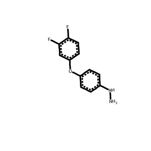 NNc1ccc(Oc2ccc(F)c(F)c2)cc1